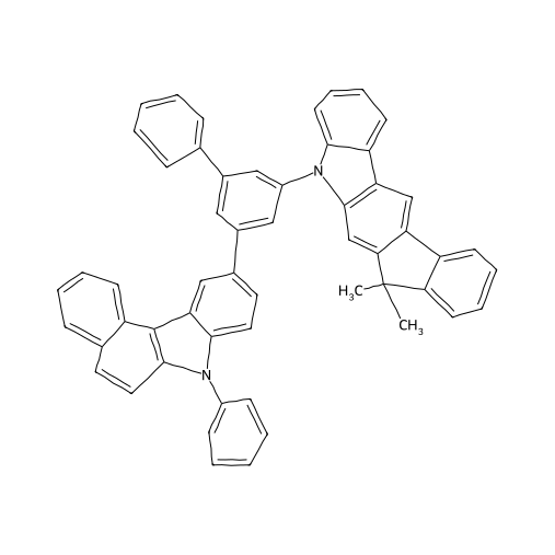 CC1(C)c2ccccc2-c2cc3c4ccccc4n(-c4cc(-c5ccccc5)cc(-c5ccc6c(c5)c5c7ccccc7ccc5n6-c5ccccc5)c4)c3cc21